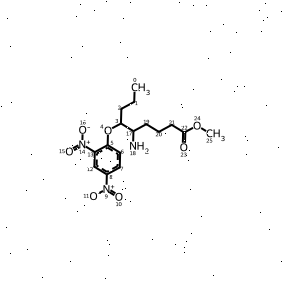 CCCC(Oc1ccc([N+](=O)[O-])cc1[N+](=O)[O-])C(N)CCCC(=O)OC